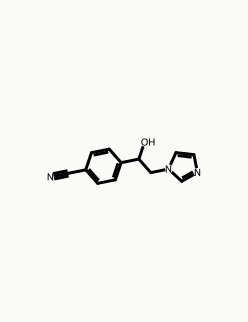 N#Cc1ccc(C(O)Cn2ccnc2)cc1